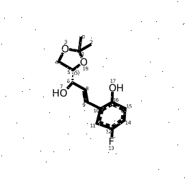 CC1(C)OC[C@@H](C(O)C=Cc2cc(F)ccc2O)O1